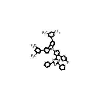 Fc1ccc(-c2ccc(-n3c4ccc(-c5cc(C(F)(F)F)cc(C(F)(F)F)c5)cc4c4cc(-c5cc(C(F)(F)F)cc(C(F)(F)F)c5)ccc43)cc2-c2nc(-c3ccccc3)nc(-c3ccccc3)n2)cc1